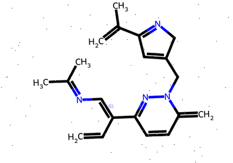 C=C/C(=C\N=C(C)C)C1=NN(CC2=CC(C(=C)C)=NC2)C(=C)C=C1